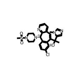 Cn1cncc1C(C)(O)C1=Cc2cccnc2[C@@H](N2CCN(S(C)(=O)=O)CC2)c2ccc(Cl)cc21